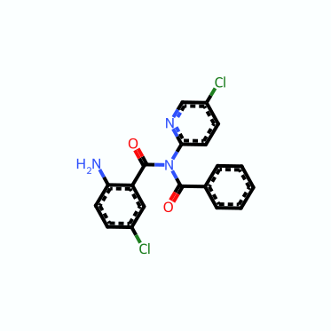 Nc1ccc(Cl)cc1C(=O)N(C(=O)c1ccccc1)c1ccc(Cl)cn1